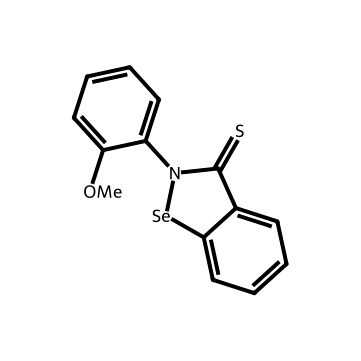 COc1ccccc1-n1[se]c2ccccc2c1=S